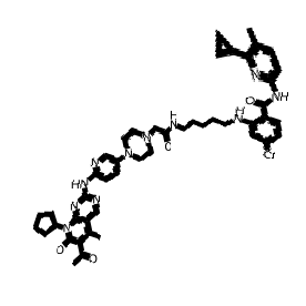 CC(=O)c1c(C)c2cnc(Nc3ccc(N4CCN(CC(=O)NCCCCCNc5cc(Cl)ccc5C(=O)Nc5ccc(C)c(C6CC6)n5)CC4)cn3)nc2n(C2CCCC2)c1=O